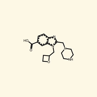 O=C(O)c1ccc2nc(CN3CCNCC3)n(CC3CCO3)c2c1